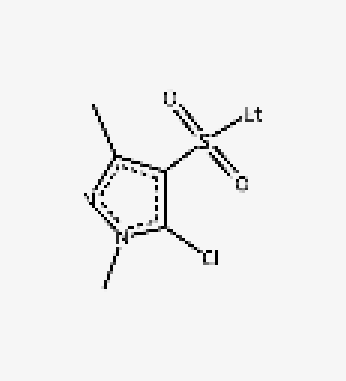 CCS(=O)(=O)c1c(C)nn(C)c1Cl